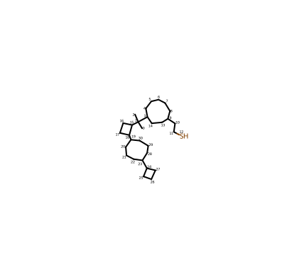 CC(C)(C1CCCCCC(CCS)CC1)C1CCC1C1CCCC(C2CCC2)CCC1